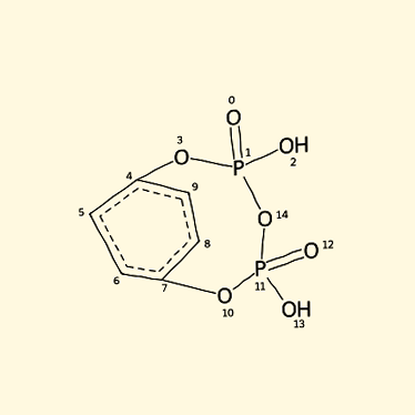 O=P1(O)Oc2ccc(cc2)OP(=O)(O)O1